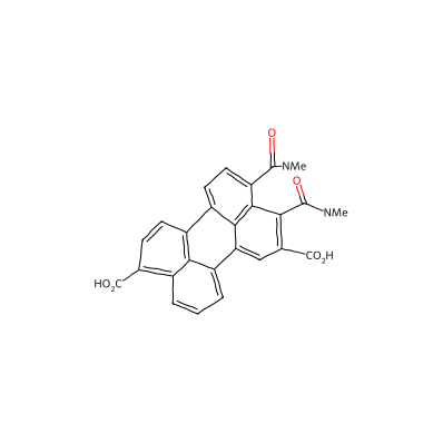 CNC(=O)c1ccc2c3ccc(C(=O)O)c4cccc(c5cc(C(=O)O)c(C(=O)NC)c1c25)c43